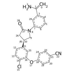 C=C(N)c1cccc(N2C[C@@H](c3ccc(Cl)c(Oc4ccc(C#N)cc4)c3)CC2=O)c1